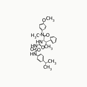 COc1ccc(N(C)C(=O)[C@@H](NC(=O)NS(=O)(=O)Nc2ccc(C(C)C)cc2)[C@H](C)c2ccccc2)cc1